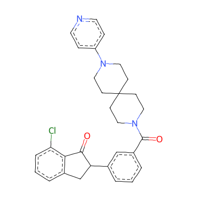 O=C1c2c(Cl)cccc2CC1c1cccc(C(=O)N2CCC3(CC2)CCN(c2ccncc2)CC3)c1